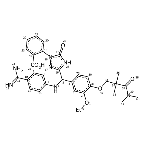 CCOc1cc(C(Nc2ccc(C(=N)N)cc2)c2nn(-c3ccccc3C(=O)O)c(=O)[nH]2)ccc1OCC(C)(C)C(=O)N(C)C